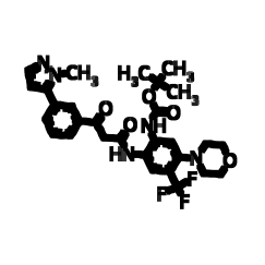 Cn1nccc1-c1cccc(C(=O)CC(=O)Nc2cc(C(F)(F)F)c(N3CCOCC3)cc2NC(=O)OC(C)(C)C)c1